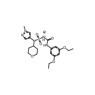 CCOc1cc(NC(=O)[NH+]([O-])S(=O)(=O)N(c2cnn(C)c2)C2CCOCC2)cc(OCC)c1